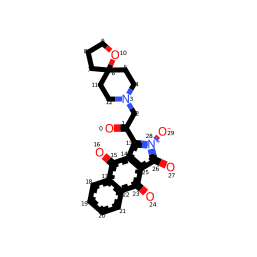 O=C(CN1CCC2(CCCO2)CC1)c1c2c(=O)c3ccccc3c(=O)c=2c(=O)[n+]1[O-]